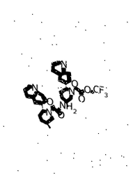 C[C@H]1CC[C@H](c2ccc3ncccc3c2)N(C(=O)C(=O)OCC(F)(F)F)C1.C[C@H]1CC[C@H](c2ccc3ncccc3c2)N(C(=O)C(N)=O)C1